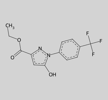 CCOC(=O)c1cc(O)n(-c2ccc(C(F)(F)F)cc2)n1